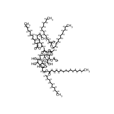 CCCCCCCCCCCCCCCC(=O)O[C@H](CCCCCCCCCCC)CC(=O)NC1C(O)OC(COC2OC(CO)C(OC=O)C(OC(=O)C[C@@H](CCCCCCCCCCC)OC(=O)CCCCCCCCCCCCC)C2NC(=O)C[C@@H](CCCCCCCC)OC(=O)CCCCCCCCCCC)C(O)C1O